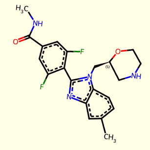 CNC(=O)c1cc(F)c(-c2nc3cc(C)ccc3n2C[C@@H]2CNCCO2)c(F)c1